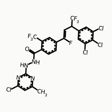 Cc1cc(Cl)nc(NNC(=O)c2ccc(/C(F)=C/C(c3cc(Cl)c(Cl)c(Cl)c3)C(F)(F)F)cc2C(F)(F)F)n1